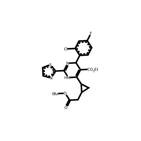 CCOC(=O)C1=C(C2CC2CC(=O)OC(C)(C)C)NC(c2nccs2)=NC1c1ccc(F)cc1Cl